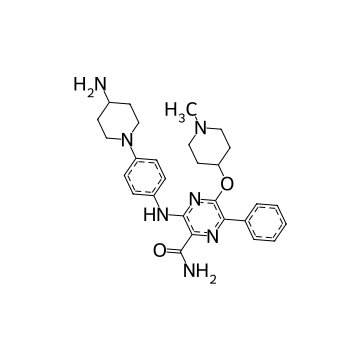 CN1CCC(Oc2nc(Nc3ccc(N4CCC(N)CC4)cc3)c(C(N)=O)nc2-c2ccccc2)CC1